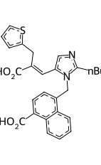 CCCCc1ncc(/C=C(\Cc2cccs2)C(=O)O)n1Cc1ccc(C(=O)O)c2ccccc12